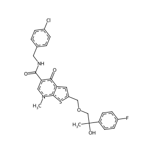 Cn1cc(C(=O)NCc2ccc(Cl)cc2)c(=O)c2cc(COCC(C)(O)c3ccc(F)cc3)sc21